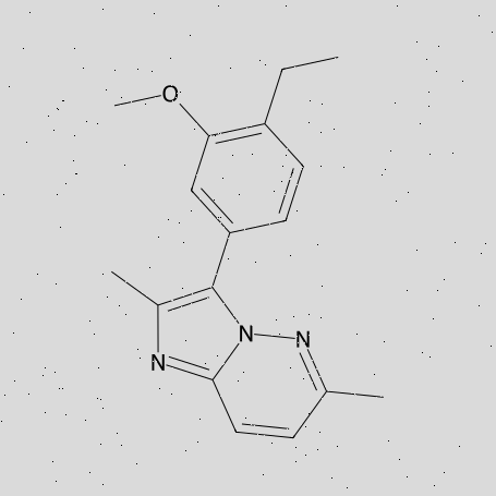 CCc1ccc(-c2c(C)nc3ccc(C)nn23)cc1OC